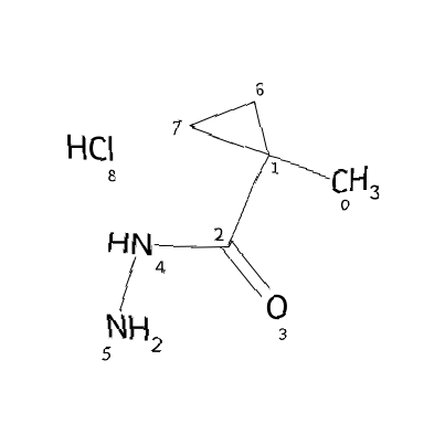 CC1(C(=O)NN)CC1.Cl